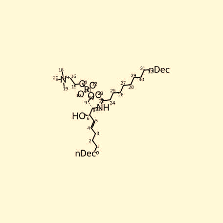 CCCCCCCCCCCCC/C=C/[C@@H](O)[C@H](COP(=O)([O-])OCC[N+](C)(C)C)NC(=O)CCCCCCCCCCCCCCCCCC